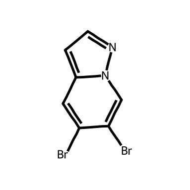 Brc1cc2ccnn2cc1Br